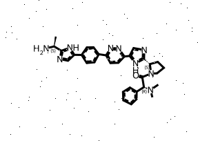 C[C@H](N)c1ncc(-c2ccc(-c3ccc(-c4cnc([C@@H]5CCCN5C(=O)[C@@H](c5ccccc5)N(C)C)[nH]4)nn3)cc2)[nH]1